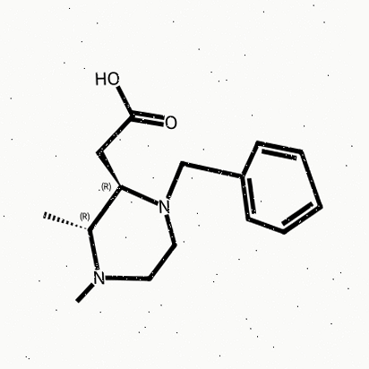 C[C@@H]1[C@@H](CC(=O)O)N(Cc2ccccc2)CCN1C